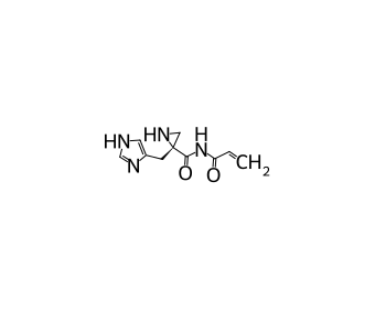 C=CC(=O)NC(=O)[C@@]1(Cc2c[nH]cn2)CN1